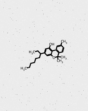 CCCCCCC(CC)c1cc(O)c2c(c1)OC(C)(C)c1ccc(C)cc1-2